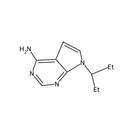 CCC(CC)n1ccc2c(N)ncnc21